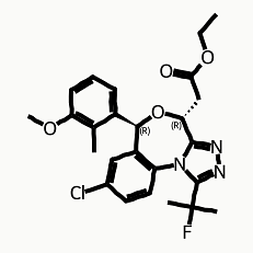 CCOC(=O)C[C@H]1O[C@H](c2cccc(OC)c2C)c2cc(Cl)ccc2-n2c1nnc2C(C)(C)F